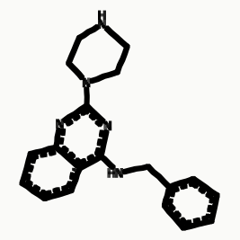 c1ccc(CNc2nc(N3CCNCC3)nc3ccccc23)cc1